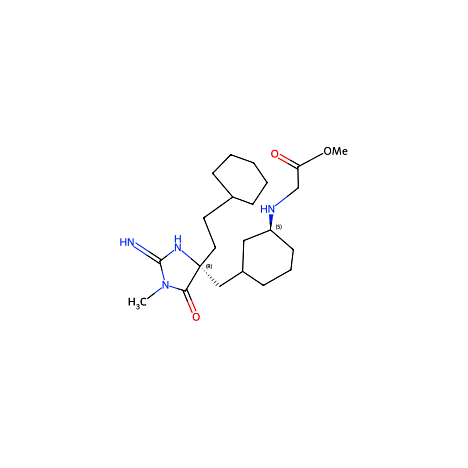 COC(=O)CN[C@H]1CCCC(C[C@@]2(CCC3CCCCC3)NC(=N)N(C)C2=O)C1